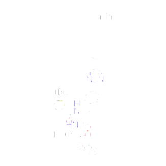 CCCC1CCC(C2CC=C(c3cnc(-c4ccc(C[C@H](NC(=O)c5ccc(C(C)(C)C)s5)C(=O)N[C@H](C)C(=O)OC(C)(C)C)cc4)nc3)CC2)CC1